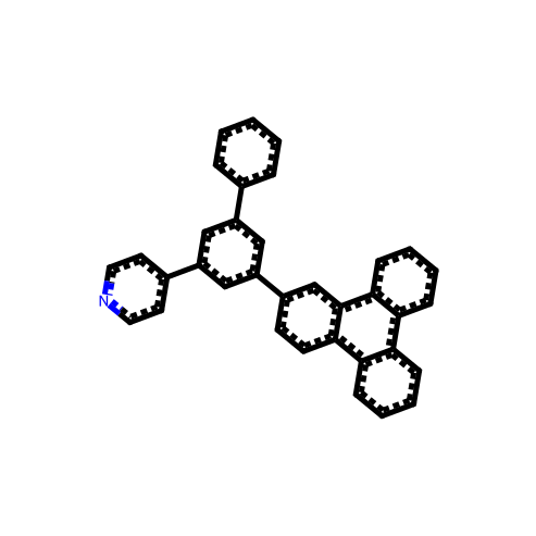 c1ccc(-c2cc(-c3ccncc3)cc(-c3ccc4c5ccccc5c5ccccc5c4c3)c2)cc1